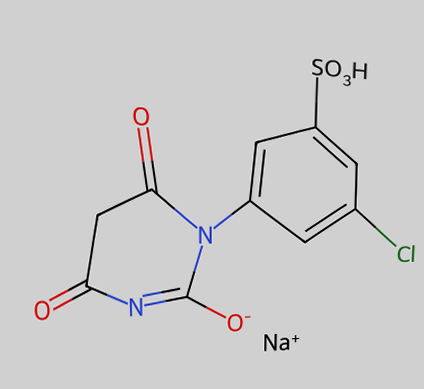 O=C1CC(=O)N(c2cc(Cl)cc(S(=O)(=O)O)c2)C([O-])=N1.[Na+]